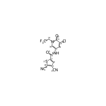 N#Cc1cc(C(=O)Nc2cc(Cl)c(=O)n(CC(F)(F)F)c2)sc1C#N